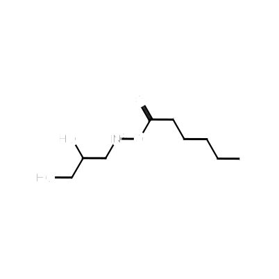 CCCCCC(=O)ONCC(O)CO